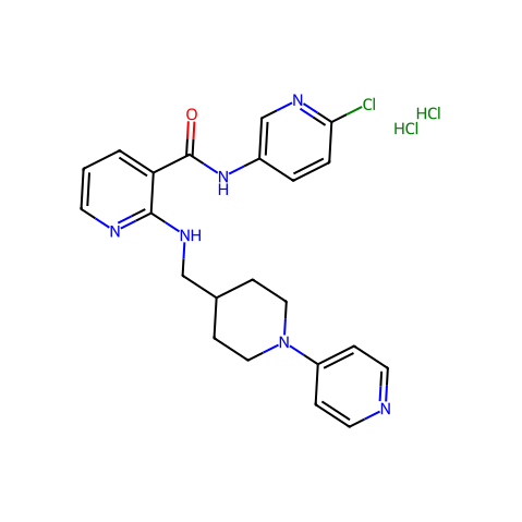 Cl.Cl.O=C(Nc1ccc(Cl)nc1)c1cccnc1NCC1CCN(c2ccncc2)CC1